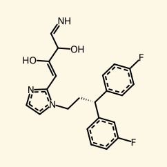 N=CC(O)/C(O)=C/c1nccn1CC[C@H](c1ccc(F)cc1)c1cccc(F)c1